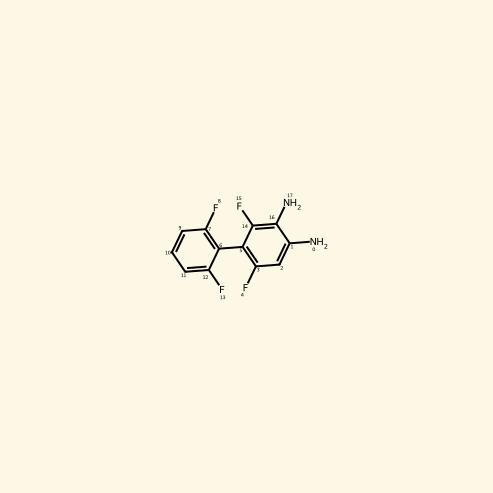 Nc1cc(F)c(-c2c(F)cccc2F)c(F)c1N